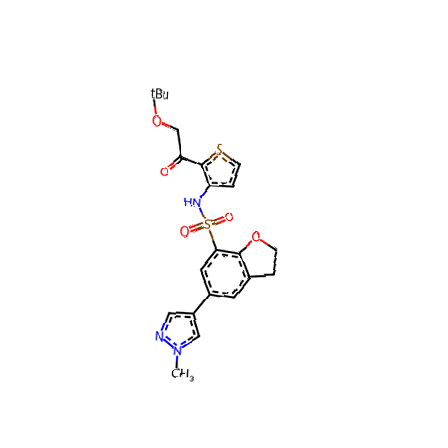 Cn1cc(-c2cc3c(c(S(=O)(=O)Nc4ccsc4C(=O)COC(C)(C)C)c2)OCC3)cn1